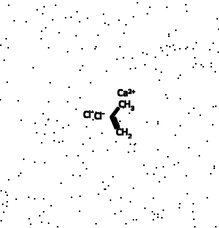 C=CC.[Ca+2].[Cl-].[Cl-]